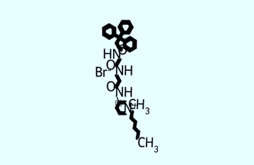 CCCCCCC[N+]1(C)CCC[C@H](CNC(=O)CCNC(=O)CNC(=O)CC(c2ccccc2)(c2ccccc2)c2ccccc2)C1.[Br-]